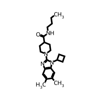 CCCCNC(=O)C1CCN(c2nc3cc(C)c(C)cc3n2C2CCC2)CC1